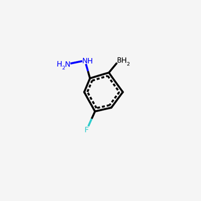 Bc1ccc(F)cc1NN